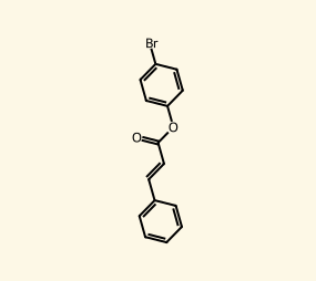 O=C(C=Cc1ccccc1)Oc1ccc(Br)cc1